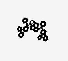 c1ccc(N(c2ccc3c(c2)C2(CCCC2)c2ccccc2-3)c2ccc3ccc4c(N(c5ccccc5)c5ccc6c(c5)C5(CCCC5)c5ccccc5-6)ccc5ccc2c3c54)cc1